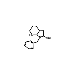 CC(C)(C)C1CC2CCCNC2N1Cc1ccccc1